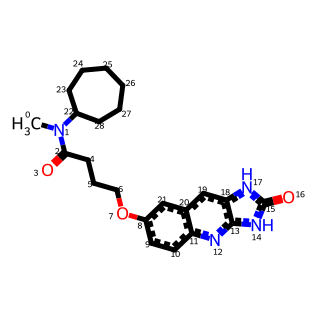 CN(C(=O)CCCOc1ccc2nc3[nH]c(=O)[nH]c3cc2c1)C1CCCCCC1